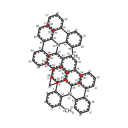 Cc1cccc(-c2ccccc2)c1N(c1ccccc1-c1ccccc1)c1ccc2ccc3c(N(c4ccccc4-c4ccccc4)c4c(C)cccc4-c4ccccc4)ccc4c3c2c1C1CC41